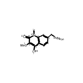 CCCCCCCCCCc1ccc2c(O)c(OC)c(=O)n(C)c2c1